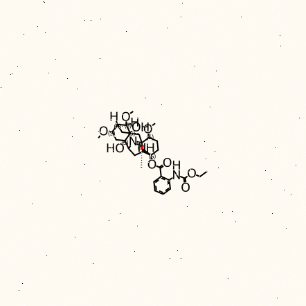 CCOC(=O)Nc1ccccc1C(=O)O[C@@]12CC[C@H](OC)C34C1CC(N3N[C@H]2C)[C@@]1(O)C[C@H](OC)[C@H]2CC4[C@]1(O)[C@H]2OC